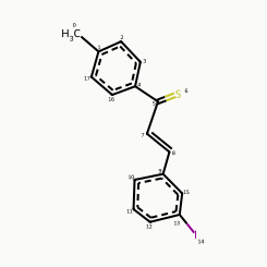 Cc1ccc(C(=S)C=Cc2cccc(I)c2)cc1